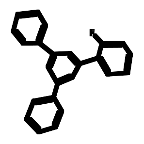 Fc1ccccc1-c1cc(-c2ccccc2)cc(-c2ccccc2)c1